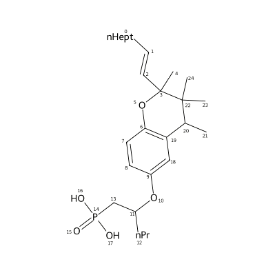 CCCCCCCC=CC1(C)Oc2ccc(OC(CCC)CP(=O)(O)O)cc2C(C)C1(C)C